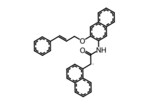 O=C([CH]c1cccc2ccccc12)Nc1cc2ccccc2cc1OCC=Cc1ccccc1